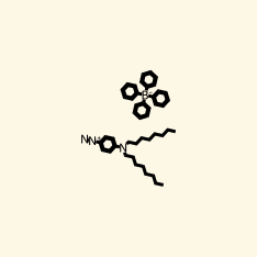 CCCCCCCCN(CCCCCCCC)c1ccc([N+]#N)cc1.c1ccc([B-](c2ccccc2)(c2ccccc2)c2ccccc2)cc1